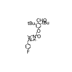 C[C@@H]1CN(Cc2ccc(F)cc2)[C@@H](C)CN1C(=O)COc1cc(C(C)(C)C)c(C=O)c(C(C)(C)C)c1